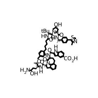 Cc1ncsc1-c1ccc([C@H](C)NC(=O)[C@@H]2C[C@@H](O)CN2C(=O)[C@@H](NC(=O)CCCCc2ccc(CO[C@H](C)[C@H](CCC(N)O)NC(=O)[C@@H]3Cc4cccc5c4N3C(=O)[C@@H](NC(=O)c3cc4cc(C(=O)O)ccc4[nH]3)CC5)cc2)C(C)(C)C)cc1